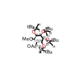 COC[C@@H](O[Si](C)(C)C(C)(C)C)[C@@H](O[Si](C)(C)C(C)(C)C)[C@H](O[Si](C)(C)C(C)(C)C)[C@@H](COC(C)=O)O[Si](C)(C)C(C)(C)C